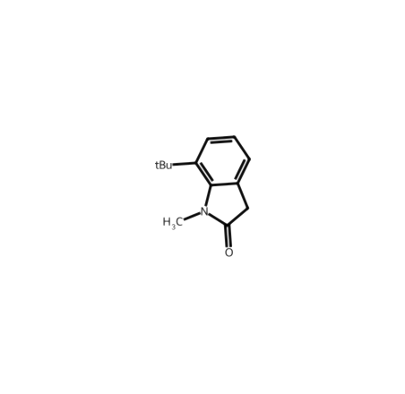 CN1C(=O)Cc2cccc(C(C)(C)C)c21